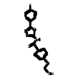 CC(C)(C)COc1ccc(C(=O)Nc2nnc(-c3ccc(F)cc3)o2)cc1